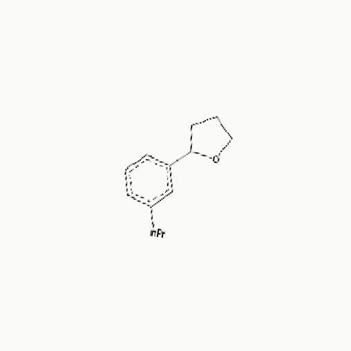 CCCc1cccc(C2CCCO2)c1